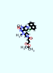 COc1nc2c(c(N(C)C3CCN(C(=O)/C=C/C(=O)OC(C)C)C3)n1)CCN(c1cccc3cccc(Cl)c13)C2